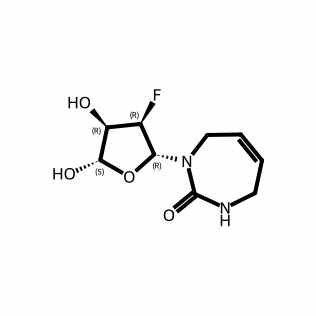 O=C1NCC=CCN1[C@@H]1O[C@H](O)[C@@H](O)[C@H]1F